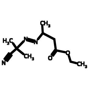 CCOC(=O)CC(C)N=NC(C)(C)C#N